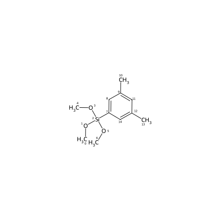 CO[Si](OC)(OC)c1cc(C)cc(C)c1